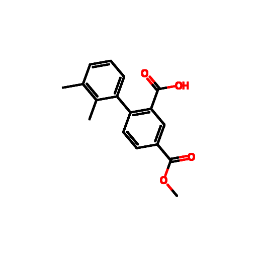 COC(=O)c1ccc(-c2cccc(C)c2C)c(C(=O)O)c1